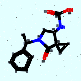 C[C@H](c1ccccc1)N1CC(NC(=O)O)C2(CC2)C1=O